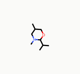 CC1COC(C(C)C)N(C)C1